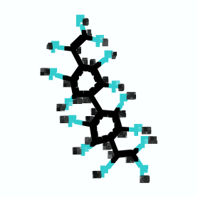 FC(F)=C(F)c1c(F)c(F)c(-c2c(F)c(F)c(C(F)=C(F)F)c(F)c2F)c(F)c1F